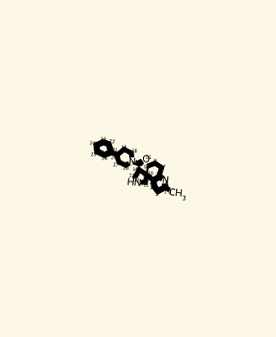 Cc1ccc2c(n1)CCC[C@]21CNC[C@H]1C(=O)N1CCC(c2ccccc2)CC1